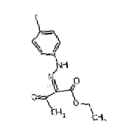 CCOC(=O)/C(=N\Nc1ccc(F)cc1)C(C)=O